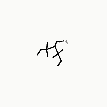 CCC(C)(C)C(CP)C(C)(C)CC